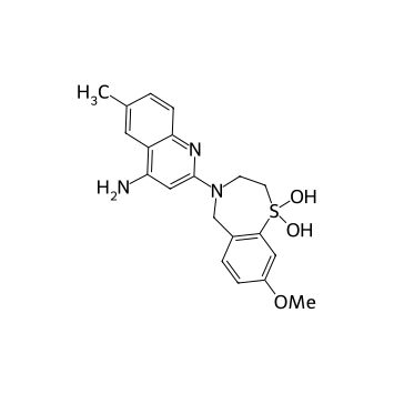 COc1ccc2c(c1)S(O)(O)CCN(c1cc(N)c3cc(C)ccc3n1)C2